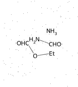 CCO[C]=O.N.N[C]=O